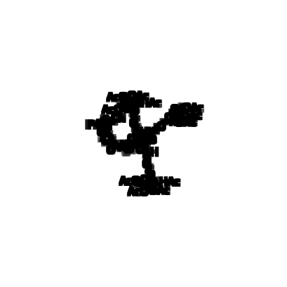 CC(=O)NC1C(OCCOCCNC(=O)CN(CC(=O)NCCOCCOC2(NC(C)=O)COC(COC(C)=O)C(OC(C)=O)C2OC(C)=O)C(Cc2ccc(CNC(=O)[C@H]3CC[C@@H](OP(OCCC#N)N(C(C)C)C(C)C)CC3)cc2)C(=O)NCCOCCOC2OC(COC(C)=O)C(OC(C)=O)C(OC(C)=O)C2NC(C)=O)OC(COC(C)=O)C(OC(C)=O)C1OC(C)=O